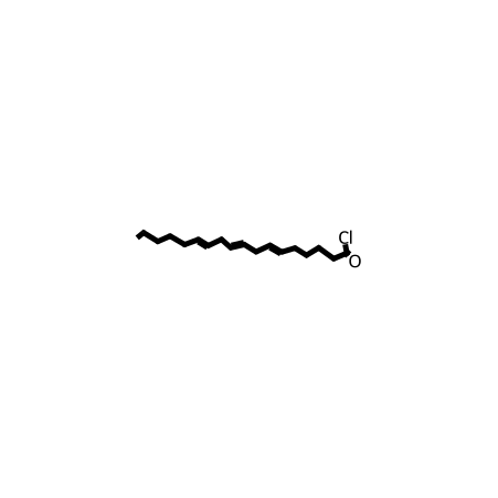 CCCCC/C=C/C/C=C/C/C=C/CCCCC(=O)Cl